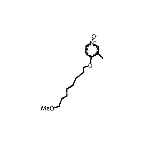 COCCCCCCCCOc1cc[n+]([O-])cc1C